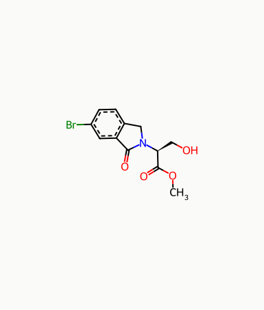 COC(=O)[C@H](CO)N1Cc2ccc(Br)cc2C1=O